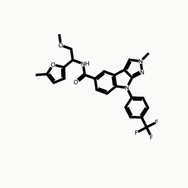 COCC(NC(=O)c1ccc2c(c1)c1cn(C)nc1n2-c1ccc(C(F)(F)F)cc1)c1ccc(C)o1